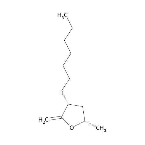 C=C1O[C@@H](C)C[C@H]1CCCCCCC